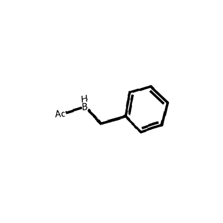 CC(=O)BCc1ccccc1